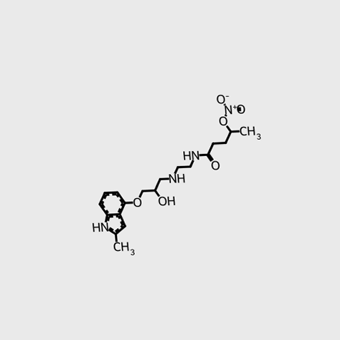 Cc1cc2c(OCC(O)CNCCNC(=O)CCC(C)O[N+](=O)[O-])cccc2[nH]1